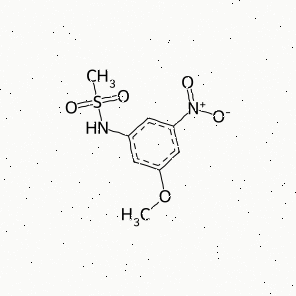 COc1cc(NS(C)(=O)=O)cc([N+](=O)[O-])c1